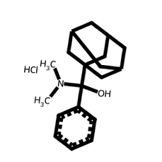 CN(C)C(O)(c1ccccc1)C12CC3CC(CC(C3)C1)C2.Cl